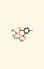 CCC(OC(=O)c1ccc(I)cc1C(=O)OC(CC)C(C)C)C(C)C